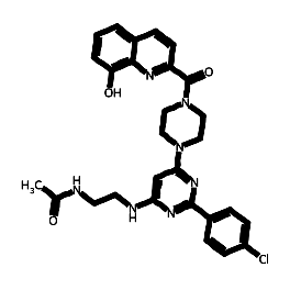 CC(=O)NCCNc1cc(N2CCN(C(=O)c3ccc4cccc(O)c4n3)CC2)nc(-c2ccc(Cl)cc2)n1